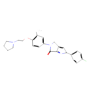 COc1cc(N2CC3=CC(c4ccc(Cl)cc4)N=C3C2=O)ccc1OCCN1CCCC1